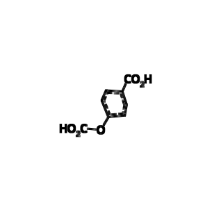 O=C(O)Oc1ccc(C(=O)O)cc1